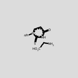 CCCn1ccc(=O)[nH]c1=S.NCC(=O)O